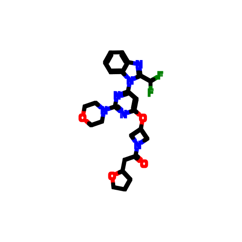 O=C(CC1CCCO1)N1CC(Oc2cc(-n3c(C(F)F)nc4ccccc43)nc(N3CCOCC3)n2)C1